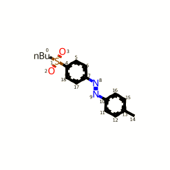 CCCCS(=O)(=O)c1ccc(N=Nc2ccc(C)cc2)cc1